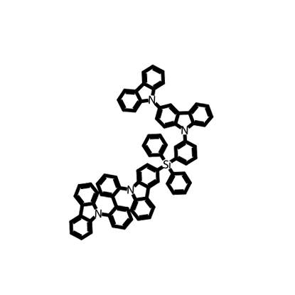 c1ccc([Si](c2ccccc2)(c2cccc(-n3c4ccccc4c4cc(-n5c6ccccc6c6ccccc65)ccc43)c2)c2ccc3c(c2)c2ccccc2n3-c2ccccc2-c2ccccc2-n2c3ccccc3c3ccccc32)cc1